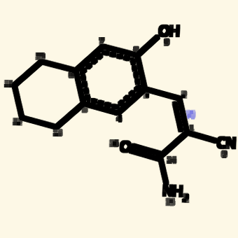 N#C/C(=C/c1cc2c(cc1O)CCCC2)C(N)=O